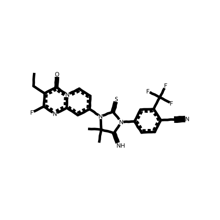 CCc1c(F)nc2cc(N3C(=S)N(c4ccc(C#N)c(C(F)(F)F)c4)C(=N)C3(C)C)ccn2c1=O